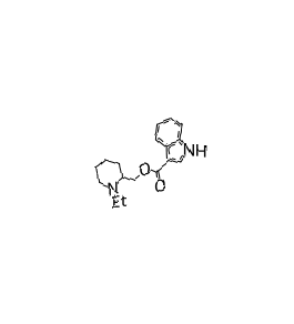 CCN1CCCCC1COC(=O)c1c[nH]c2ccccc12